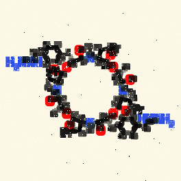 CC(C)C[C@H]1C(=O)O[C@H](Cc2ccc(CNN)cc2)C(=O)N(C)[C@@H](CC(C)C)C(=O)O[C@H](C)C(=O)N(C)[C@@H](CC(C)C)C(=O)O[C@H](Cc2ccc(CNN)cc2)C(=O)N(C)[C@@H](CC(C)C)C(=O)O[C@H](C)C(=O)N1C